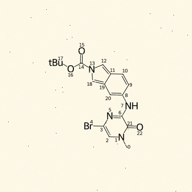 Cn1cc(Br)nc(Nc2ccc3cn(C(=O)OC(C)(C)C)cc3c2)c1=O